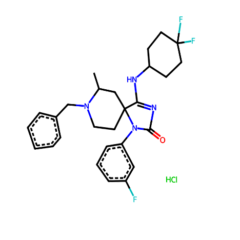 CC1CC2(CCN1Cc1ccccc1)C(NC1CCC(F)(F)CC1)=NC(=O)N2c1cccc(F)c1.Cl